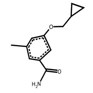 Cc1cc(OCC2CC2)cc(C(N)=O)c1